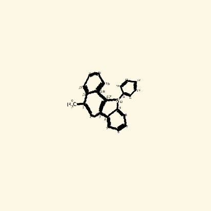 Cc1cc2c3ccccc3n(-c3ccccc3)c2c2ccccc12